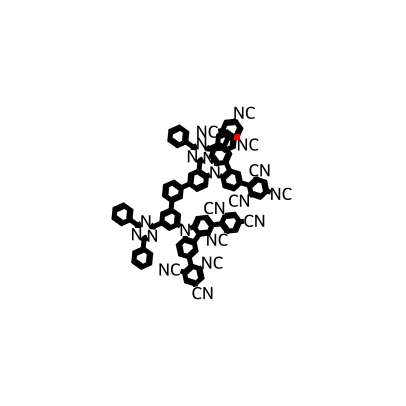 [C-]#[N+]c1cc(C#N)c(-c2ccc3c(c2)c2cc(-c4c(C#N)cc([N+]#[C-])cc4[N+]#[C-])ccc2n3-c2ccc(-c3cccc(-c4cc(-c5nc(-c6ccccc6)nc(-c6ccccc6)n5)cc(-n5c6ccc(-c7c(C#N)cc(C#N)cc7[N+]#[C-])cc6c6cc(-c7c(C#N)cc(C#N)cc7[N+]#[C-])ccc65)c4)c3)cc2-c2nc(-c3ccccc3)nc(-c3ccccc3)n2)c([N+]#[C-])c1